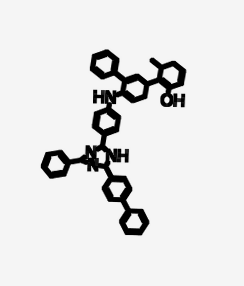 CC1CC=CC(O)=C1C1C=C(c2ccccc2)C(Nc2ccc(C3NC(c4ccc(-c5ccccc5)cc4)N4C(c5ccccc5)N34)cc2)=CC1